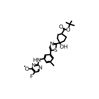 COc1nc(Nc2cc(C)cc(-c3cnc(C4(O)CCC(C(=O)OC(C)(C)C)CC4)s3)c2)ncc1F